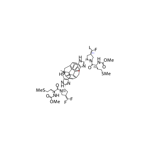 COC(=O)N[C@@H](CCSC)C(=O)N1CC(=C(F)F)C[C@H]1c1nc2cc(-c3cc4ccc3C[C@@H](C)c3ccc(c(-c5ccc6[nH]c([C@@H]7C/C(=C(/F)I)CN7C(=O)[C@H](CCSC)NC(=O)OC)nc6c5)c3)CC4)ccc2[nH]1